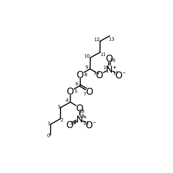 CCCCC(OC(=O)OC(CCCC)O[N+](=O)[O-])O[N+](=O)[O-]